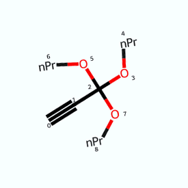 C#CC(OCCC)(OCCC)OCCC